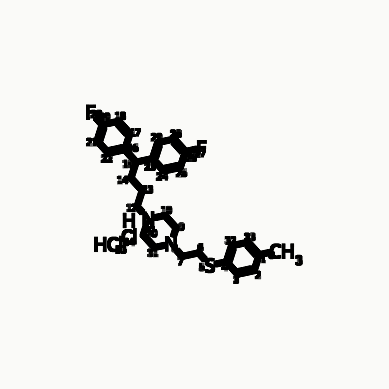 Cc1ccc(SCCN2CCN(CCCC(c3ccc(F)cc3)c3ccc(F)cc3)CC2)cc1.Cl.Cl